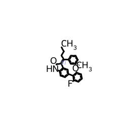 CCCC/C(=C1\C(=O)Nc2ccc(-c3c(F)cccc3OC)cc21)c1ccccc1